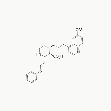 COc1ccc2nccc(CCC[C@@H]3CCNC(CCSc4ccccc4)[C@@H]3C(=O)O)c2c1